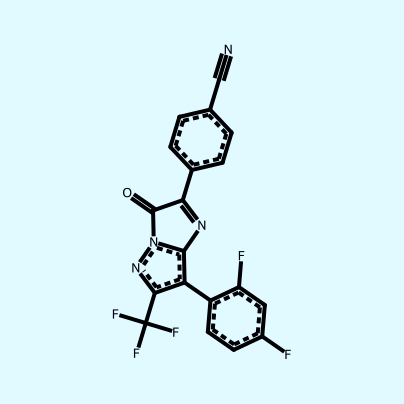 N#Cc1ccc(C2=Nc3c(-c4ccc(F)cc4F)c(C(F)(F)F)nn3C2=O)cc1